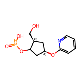 O=[PH](O)OC1C[C@H](Oc2ccccn2)C[C@@H]1CO